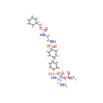 NC[C@H](NS(=O)(=O)c1ccc(-c2ccc(S(=O)(=O)NCCNC(=O)OCc3ccccc3)cc2)cc1)C(=O)OC(=O)C(F)(F)F